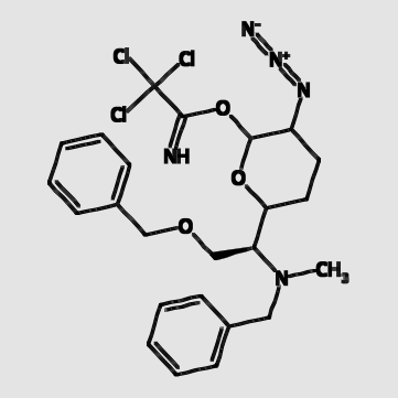 CN(Cc1ccccc1)[C@@H](COCc1ccccc1)C1CCC(N=[N+]=[N-])C(OC(=N)C(Cl)(Cl)Cl)O1